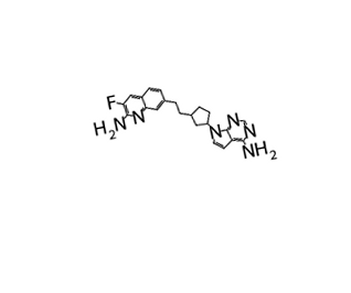 Nc1nc2cc(CCC3CCC(n4ccc5c(N)ncnc54)C3)ccc2cc1F